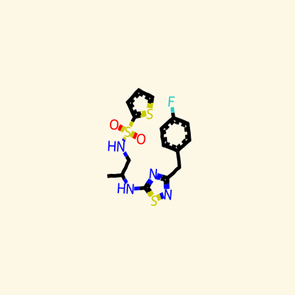 CC(CNS(=O)(=O)c1cccs1)Nc1nc(Cc2ccc(F)cc2)ns1